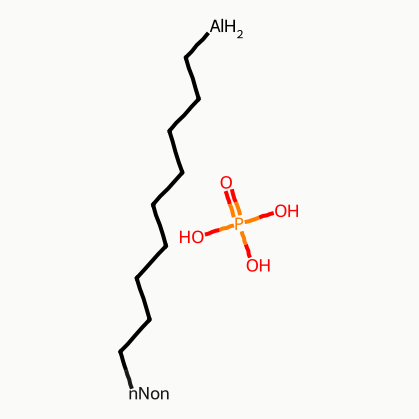 CCCCCCCCCCCCCCCCC[CH2][AlH2].O=P(O)(O)O